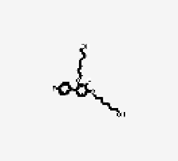 OCCCCCCOc1ccc(-c2ccc(F)cc2)c(OCCCCCCO)c1F